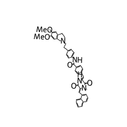 COc1cc2c(cc1OC)CN(CCc1ccc(NC(=O)c3ccc(C=c4[nH]c(=O)c(=Cc5cccc6ccccc56)n(C)c4=O)cc3)cc1)CC2